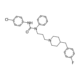 O=C(Nc1ccc(Cl)cc1)N(CCCN1CCC(Cc2ccc(F)cc2)CC1)c1ccccc1